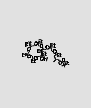 CCC(O)COC(CC)COC(CC)COC(CC)COC(CC)COC(CC)COC(CC)COC(CC)CC(C)COC(=O)C(C)(C)CC